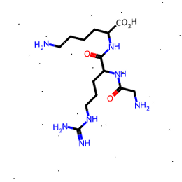 N=C(N)NCCCC(NC(=O)CN)C(=O)NC(CCCCN)C(=O)O